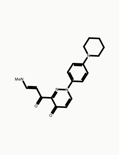 CN/C=C/C(=O)c1nn(-c2ccc(N3CCCCC3)cc2)ccc1=O